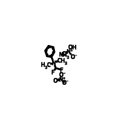 C[N+](C)(c1ccccc1)C(F)F.N.O=[N+]([O-])O.O=[N+]([O-])[O-]